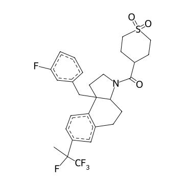 CC(F)(c1ccc2c(c1)CCC1N(C(=O)C3CCS(=O)(=O)CC3)CCC21Cc1cccc(F)c1)C(F)(F)F